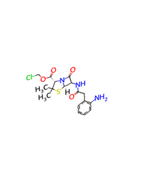 CC1(C)S[C@@H]2C(NC(=O)Cc3ccccc3N)C(=O)N2[C@H]1C(=O)OCCl